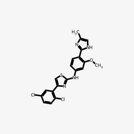 COc1cc(Nc2nc(-c3cc(Cl)ccc3Cl)cs2)ccc1-c1nc(C)c[nH]1